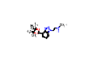 CC1(C)OB(c2cccc3c2nnn3CCNC(=O)O)OC1(C)C